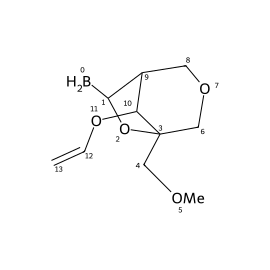 BC1OC2(COC)COCC1C2OC=C